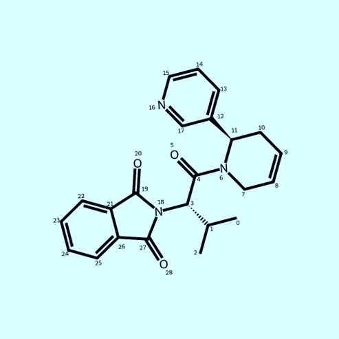 CC(C)[C@@H](C(=O)N1CC=CC[C@@H]1c1cccnc1)N1C(=O)c2ccccc2C1=O